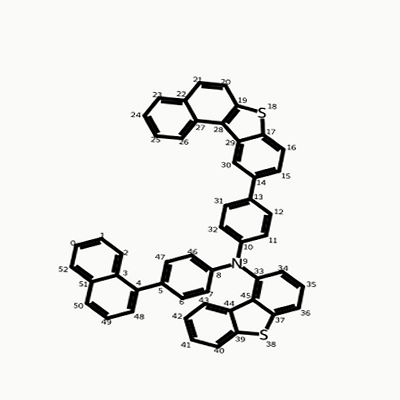 c1ccc2c(-c3ccc(N(c4ccc(-c5ccc6sc7ccc8ccccc8c7c6c5)cc4)c4cccc5sc6ccccc6c45)cc3)cccc2c1